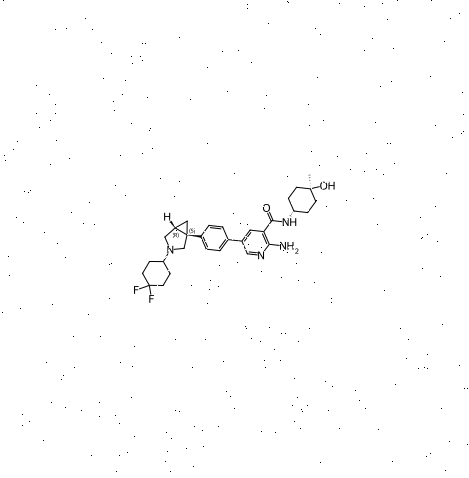 C[C@]1(O)CC[C@H](NC(=O)c2cc(-c3ccc([C@]45C[C@H]4CN(C4CCC(F)(F)CC4)C5)cc3)cnc2N)CC1